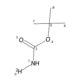 [2H]NC(=O)OC(C)(C)C